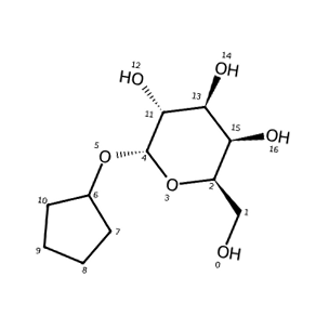 OC[C@H]1O[C@H](OC2CCCC2)[C@H](O)[C@@H](O)[C@H]1O